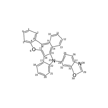 c1ccc2c(c1)oc1c2c2ccccc2c2c1c1ccccc1n2-c1ccc2ncoc2c1